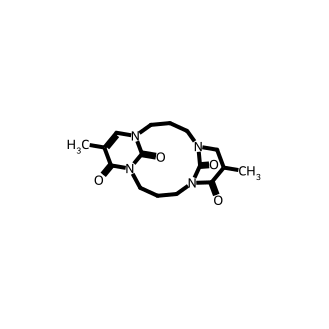 Cc1cn2c(=O)n(c1=O)CCCN1C(=O)C(C)CN(CCC2)C1=O